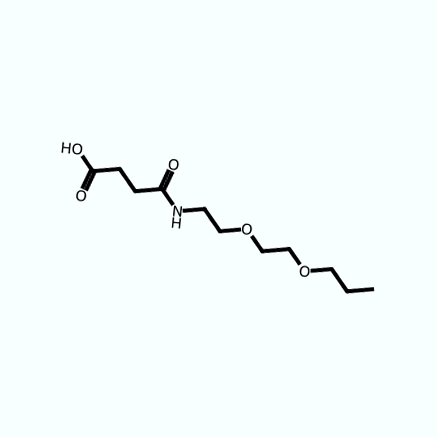 CCCOCCOCCNC(=O)CCC(=O)O